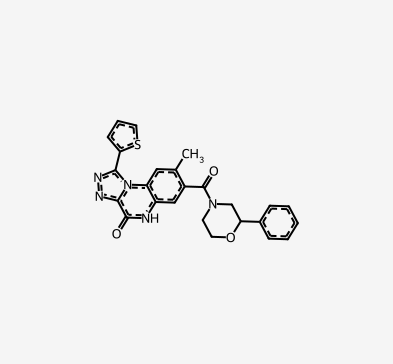 Cc1cc2c(cc1C(=O)N1CCOC(c3ccccc3)C1)[nH]c(=O)c1nnc(-c3cccs3)n12